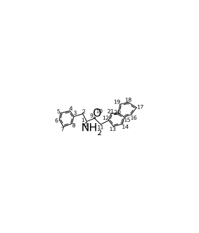 NC(Cc1ccccc1)C(=O)Cc1ccc2ccccc2c1